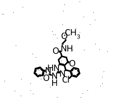 COCCNC(=O)C1CC(=O)C2=C(C1)NC(Nc1nc3ccccc3o1)=NC2c1ccccc1Cl